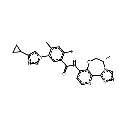 Cc1cc(F)c(C(=O)Nc2ccnc3c2OC[C@H](C)n2cnnc2-3)cc1-n1cnc(C2CC2)c1